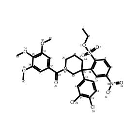 CCOS(=O)(=O)c1ccc([N+](=O)[O-])cc1C1(c2ccc(Cl)c(Cl)c2)CCCN(C(=O)c2cc(OC)c(OC)c(OC)c2)C1